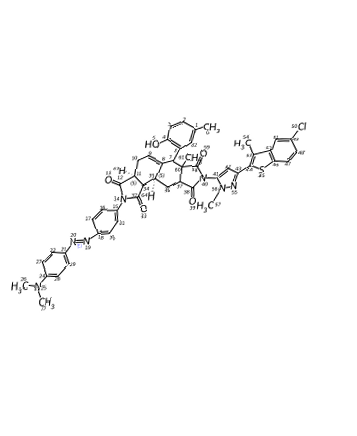 Cc1ccc(O)c(C2C3=CC[C@@H]4C(=O)N(c5ccc(/N=N/c6ccc(N(C)C)cc6)cc5)C(=O)C4[C@@H]3CC3C(=O)N(c4cc(-c5sc6ccc(Cl)cc6c5C)nn4C)C(=O)C32C)c1